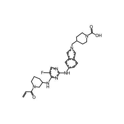 C=CC(=O)N1CCCC(Nc2nc(Nc3ccc4cn(CC5CCN(C(=O)O)CC5)cc4c3)ncc2F)C1